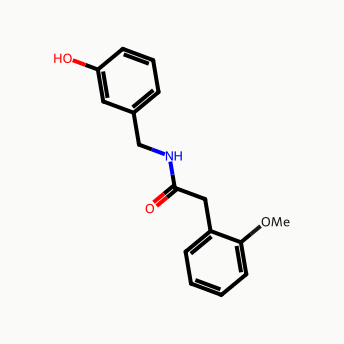 COc1ccccc1CC(=O)NCc1cccc(O)c1